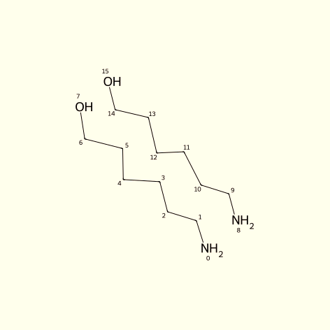 NCCCCCCO.NCCCCCCO